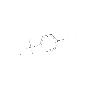 CC(C)OC(c1ccc(C(=O)O)cc1)(C(F)(F)F)C(F)(F)F